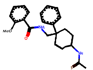 COc1ccccc1C(=O)NCC1(c2ccccc2)CCC(NC(C)=S)CC1